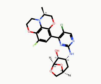 C[C@H]1COc2c(-c3nc(N[C@@H]4C[C@H]5CO[C@H](O5)[C@H]4O)ncc3Cl)cc(F)c3c2N1CCO3